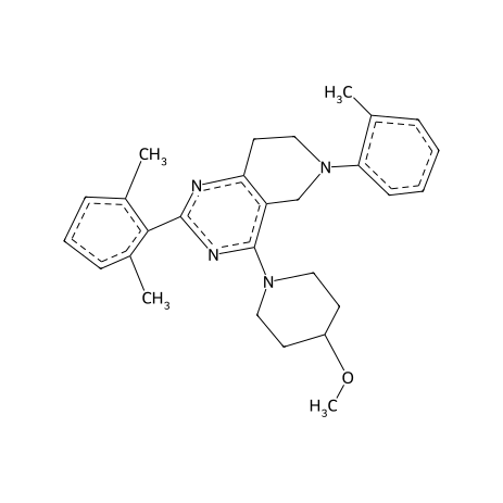 COC1CCN(c2nc(-c3c(C)cccc3C)nc3c2CN(c2ccccc2C)CC3)CC1